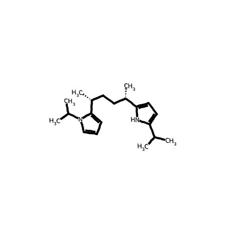 CC(C)c1ccc([C@@H](C)CC[C@@H](C)c2cccn2C(C)C)[nH]1